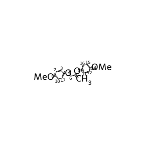 COc1ccc(OCC(C)Oc2ccc(OC)cc2)cc1